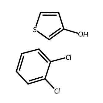 Clc1ccccc1Cl.Oc1ccsc1